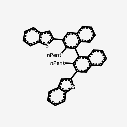 CCCCCc1c(-c2cc3ccccc3s2)cc2ccccc2c1-c1c(CCCCC)c(-c2cc3ccccc3s2)cc2ccccc12